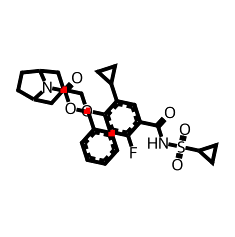 O=C(NS(=O)(=O)C1CC1)c1cc(C2CC2)c(OCC2CC3CCC(C2)N3C(=O)OCc2ccccc2)cc1F